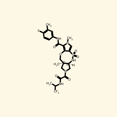 Cc1cc(NC(=O)c2c3c(cn2C)S(=O)(=O)N[C@H]2CN(C(=O)C(=O)NC(C)C(F)(F)F)C[C@@]2(C)CO3)ccc1F